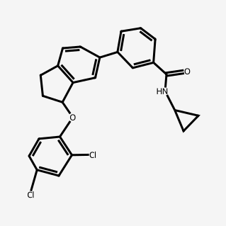 O=C(NC1CC1)c1cccc(-c2ccc3c(c2)C(Oc2ccc(Cl)cc2Cl)CC3)c1